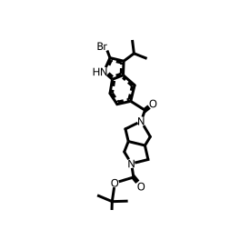 CC(C)c1c(Br)[nH]c2ccc(C(=O)N3CC4CN(C(=O)OC(C)(C)C)CC4C3)cc12